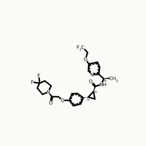 C[C@@H](NC(=O)[C@H]1C[C@@H]1c1ccc(OCC(=O)N2CCC(F)(F)CC2)cc1)c1ccc(OCC(F)(F)F)cn1